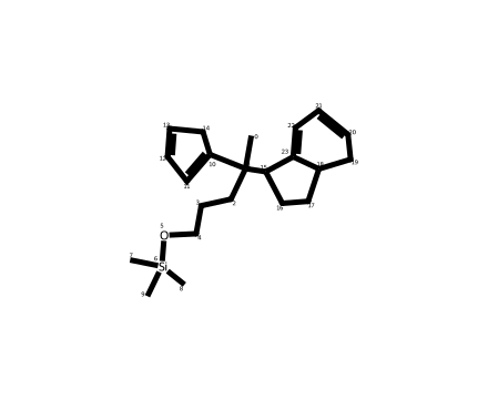 CC(CCCO[Si](C)(C)C)(C1=CC=CC1)C1CCC2CC=CC=C21